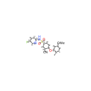 COc1ccc(C)c(Oc2ccc(S(=O)(=O)Nc3ccc(F)cn3)cc2C#N)c1